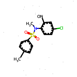 Cc1ccc(S(=O)(=O)N(C)c2ccc(Cl)cc2N=O)cc1